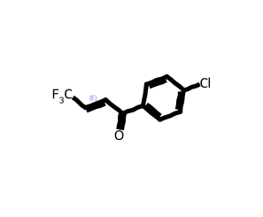 O=C(/C=C/C(F)(F)F)c1ccc(Cl)cc1